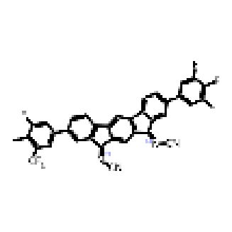 Cc1cc(-c2ccc3c(c2)/c(=N\C#N)c2cc4/c(=N\C#N)c5cc(-c6cc(F)c(F)c(C(F)(F)F)c6)ccc5c4cc23)cc(F)c1F